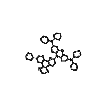 c1ccc(-c2cnc3c(c2)c2nccnc2c2ccc(N4c5ccc(N(c6ccccc6)c6ccccc6)cc5Oc5cc(N(c6ccccc6)c6ccccc6)ccc54)nc23)cc1